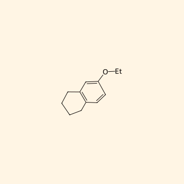 [CH2]COc1ccc2c(c1)CCCC2